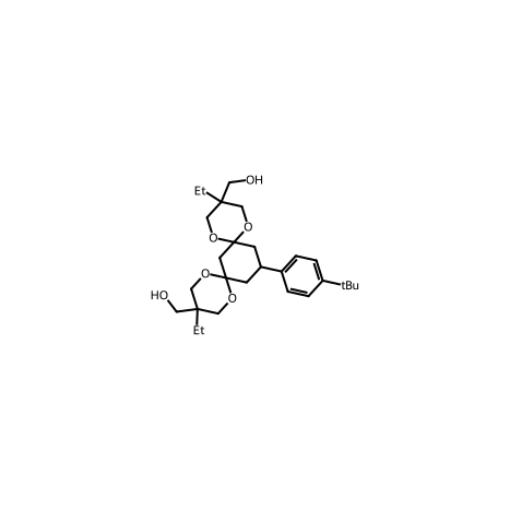 CCC1(CO)COC2(CC(c3ccc(C(C)(C)C)cc3)CC3(C2)OCC(CC)(CO)CO3)OC1